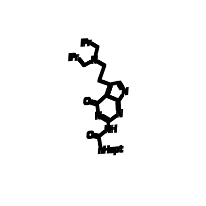 CCCCCCCC(=O)NC1=NC(=O)C2=C(CCN(CC(C)C)CC(C)C)C=NC2=N1